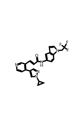 O=C(/C=C/c1cnccc1-c1cnn(C2CC2)c1)Nc1ccc2c(ccn2CC(F)(F)F)c1